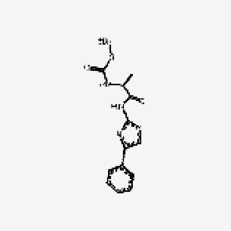 CC(NC(=O)OC(C)(C)C)C(=O)Nc1nc(-c2ccccc2)cs1